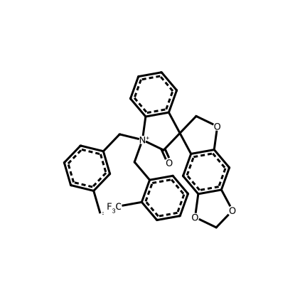 [CH]c1cccc(C[N+]2(Cc3ccccc3C(F)(F)F)C(=O)C3(COc4cc5c(cc43)OCO5)c3ccccc32)c1